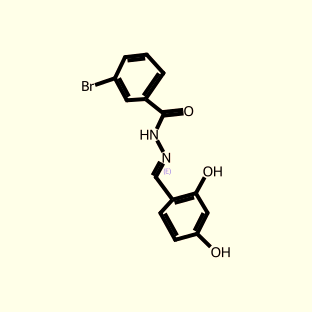 O=C(N/N=C/c1ccc(O)cc1O)c1cccc(Br)c1